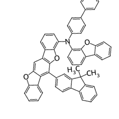 CC1(C)c2ccccc2-c2ccc(-c3c4oc5c(N(c6ccc(-c7ccccc7)cc6)c6cccc7c6oc6ccccc67)cccc5c4cc4oc5ccccc5c34)cc21